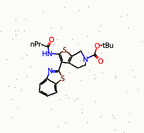 CCCC(=O)Nc1sc2c(c1-c1nc3ccccc3s1)CCN(C(=O)OC(C)(C)C)C2